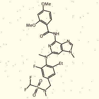 CCc1cc(CN(C)S(=O)(=O)C(F)F)cc(F)c1N(C)c1cc2c(ncn2C)c(NC(=O)c2ccc(OC)cc2OC)n1